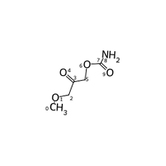 COCC(=O)COC(N)=O